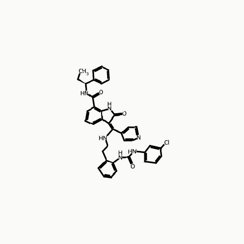 CC[C@H](NC(=O)c1cccc2c1NC(=O)C2=C(NCCc1ccccc1NC(=O)Nc1cccc(Cl)c1)c1ccncc1)c1ccccc1